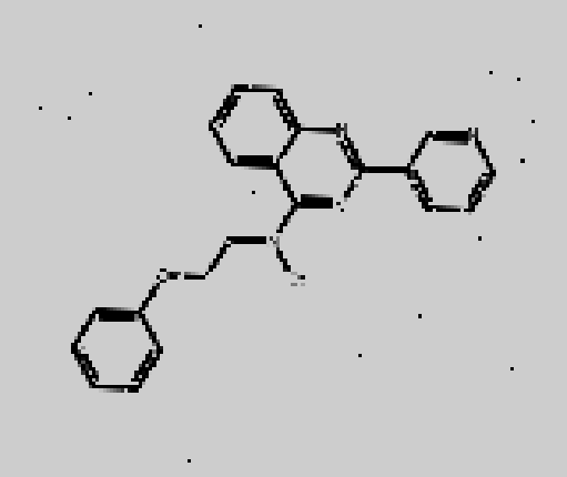 CCN(CCOc1ccccc1)c1nc(-c2cccnc2)nc2ccccc12